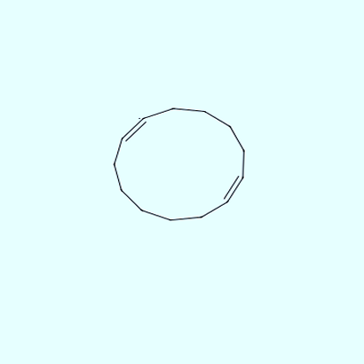 [C]1=CCCCCCC=CCCCC1